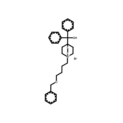 OC(c1ccccc1)(c1ccccc1)C12CC[N+](CCCCOCc3ccccc3)(CC1)CC2.[Br-]